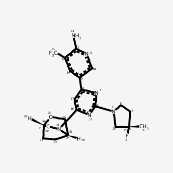 C[C@]1(F)CCN(c2nc(-c3cnc(N)c(C(F)(F)F)c3)cc(N3C[C@@H]4CC[C@H]3CO4)n2)C1